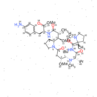 CC[C@H](C)[C@@H]([C@@H](CC(=O)N1CCC[C@H]1[C@H](OC)[C@@H](C)C(=O)N[C@@H](Cc1ccc(N)cc1)C(=O)OC)OC)N(C)[C@H](C(=O)NC(=O)[C@@]1(C)CCCN1C)C(C)C